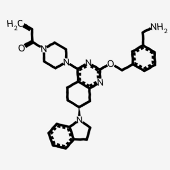 C=CC(=O)N1CCN(c2nc(OCc3cccc(CN)c3)nc3c2CC[C@H](N2CCc4ccccc42)C3)CC1